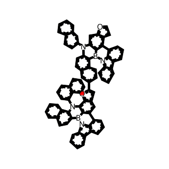 c1ccc2cc(N3c4cc5occc5c5c4B(c4c3ccc3cc(-c6cc7cc8c9c(c7o6)N(c6cccc7ccccc67)c6c(ccc7ccccc67)B9n6c7ccccc7c7cccc-8c76)ccc43)n3c4ccccc4c4cccc-5c43)ccc2c1